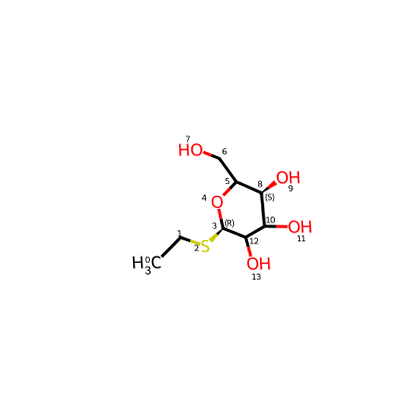 CCS[C@H]1OC(CO)[C@@H](O)C(O)C1O